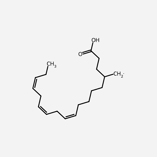 [CH2]C(CCCC/C=C\C/C=C\C/C=C\CC)CCC(=O)O